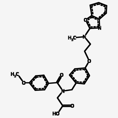 COc1ccc(C(=O)N(CC(=O)O)Cc2ccc(OCCN(C)c3nc4ccccc4o3)cc2)cc1